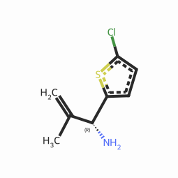 C=C(C)[C@@H](N)c1ccc(Cl)s1